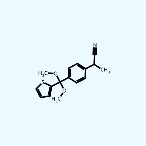 COC(OC)(c1ccc(C(C)C#N)cc1)c1cccs1